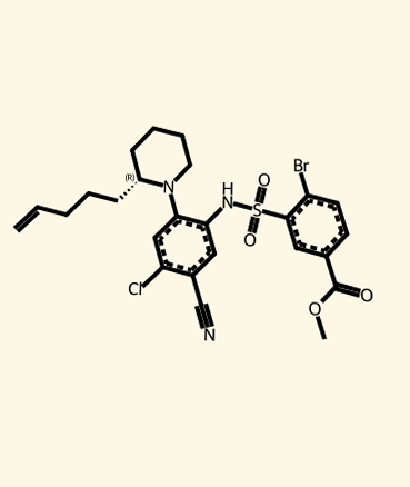 C=CCCC[C@@H]1CCCCN1c1cc(Cl)c(C#N)cc1NS(=O)(=O)c1cc(C(=O)OC)ccc1Br